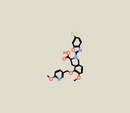 COc1ccc(COc2c(OC)ccc3c2CC(C(=O)O)N(c2nc4ccc(F)cc4o2)C3)cn1